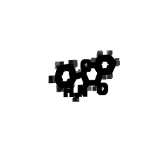 NC1C(=O)c2ccccc2OC1c1ccccc1